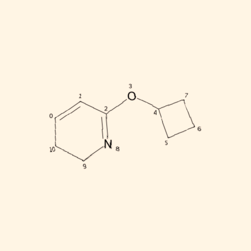 C1=CC(OC2CCC2)=NCC1